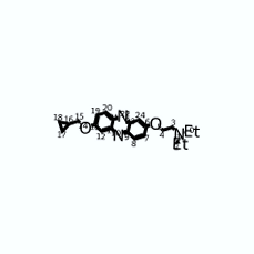 CCN(CC)CCOc1ccc2nc3cc(OCC4CC4)ccc3nc2c1